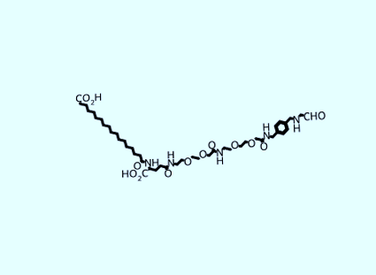 O=CCNCc1ccc(CNC(=O)COCCOCCNC(=O)COCCOCCNC(=O)CC[C@H](NC(=O)CCCCCCCCCCCCCCCCC(=O)O)C(=O)O)cc1